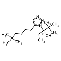 CC[C@@](O)(n1nncc1CCCCC(C)(C)C)C(C)(C)C